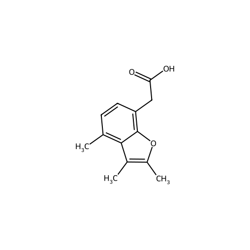 Cc1oc2c(CC(=O)O)ccc(C)c2c1C